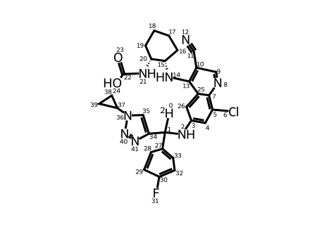 [2H]C(Nc1cc(Cl)c2ncc(C#N)c(N[C@H]3CCCC[C@H]3NC(=O)O)c2c1)(c1ccc(F)cc1)c1cn(C2CC2)nn1